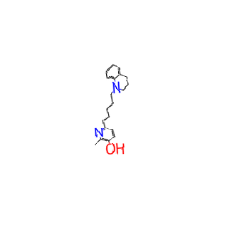 Cc1nc(CCCCCN2CCCc3ccccc32)ccc1O